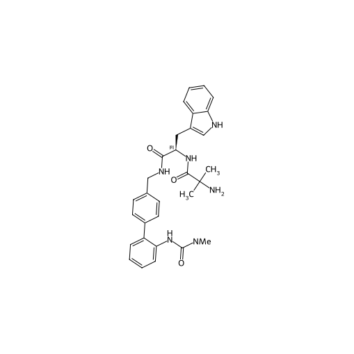 CNC(=O)Nc1ccccc1-c1ccc(CNC(=O)[C@@H](Cc2c[nH]c3ccccc23)NC(=O)C(C)(C)N)cc1